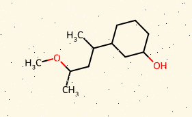 COC(C)CC(C)C1CCCC(O)C1